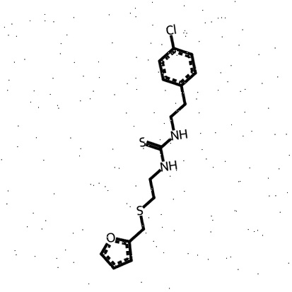 S=C(NCCSCc1ccco1)NCCc1ccc(Cl)cc1